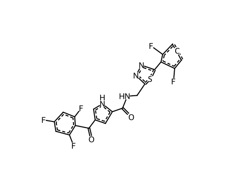 O=C(NCc1nnc(-c2c(F)cccc2F)s1)c1cc(C(=O)c2c(F)cc(F)cc2F)c[nH]1